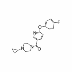 O=C(c1ccc(Oc2ccc(F)cc2)nc1)N1CCN(C2CC2)CC1